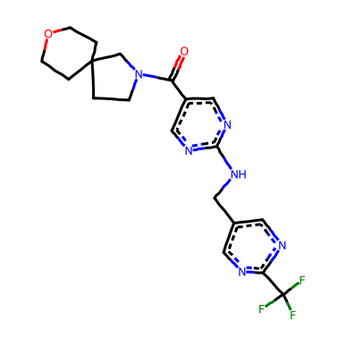 O=C(c1cnc(NCc2cnc(C(F)(F)F)nc2)nc1)N1CCC2(CCOCC2)C1